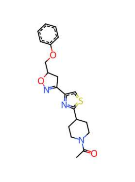 CC(=O)N1CCC(c2nc(C3=NOC(COc4ccccc4)C3)cs2)CC1